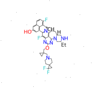 C#Cc1c(F)ccc2cc(O)cc(-c3nc4c5c(nc(OCC6(CN7CCC8(CC7)CC8(F)F)CC6)nc5c3F)N3C[C@@H](CC)NC[C@H]3CC4)c12